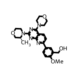 COc1ccc(-c2ccc3c(N4CCOCC4)nc(N4CCOC[C@H]4C)nc3n2)cc1CO